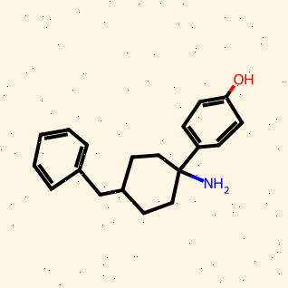 NC1(c2ccc(O)cc2)CCC(Cc2ccccc2)CC1